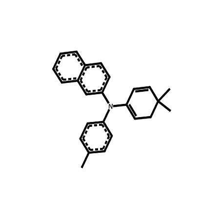 Cc1ccc(N(C2=CCC(C)(C)C=C2)c2ccc3ccccc3c2)cc1